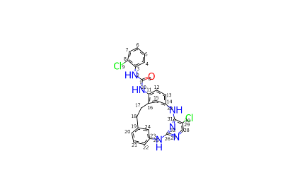 O=C(Nc1ccccc1Cl)Nc1ccc2cc1CCc1cccc(c1)Nc1ncc(Cl)c(n1)N2